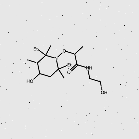 CCC1(C)CC(O)C(C)C(C)(CC)N1OC(C)C(=O)NCCO